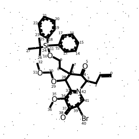 C=CCC1C(=O)C(C)(CCO[Si](c2ccccc2)(c2ccccc2)C(C)(C)C)C(OCOC)c2c(OC)c(=O)c(Br)cn21